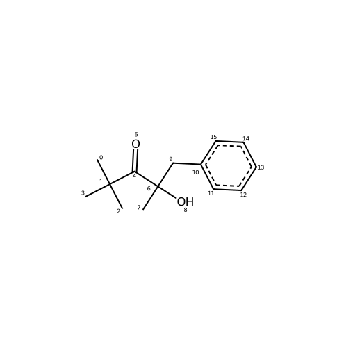 CC(C)(C)C(=O)C(C)(O)Cc1ccccc1